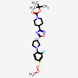 COOSc1ccc(N2CC[C@H](c3nc(C4CCN(C(=O)OC(C)(C)C)CC4)no3)C2)c(F)c1